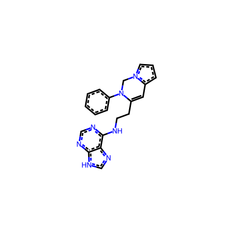 C1=C(CCNc2ncnc3[nH]cnc23)N(c2ccccc2)Cn2cccc21